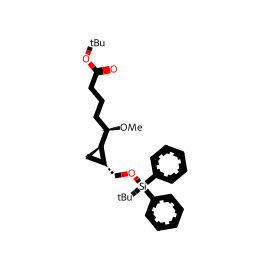 CO[C@H](CCCC(=O)OC(C)(C)C)[C@@H]1C[C@H]1CO[Si](c1ccccc1)(c1ccccc1)C(C)(C)C